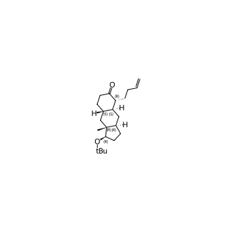 C=CCC[C@H]1C(=O)CC[C@H]2C[C@]3(C)[C@H](CC[C@H]3OC(C)(C)C)C[C@@H]21